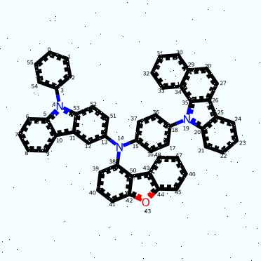 c1ccc(-n2c3ccccc3c3cc(N(c4ccc(-n5c6ccccc6c6ccc7ccccc7c65)cc4)c4cccc5oc6ccccc6c45)ccc32)cc1